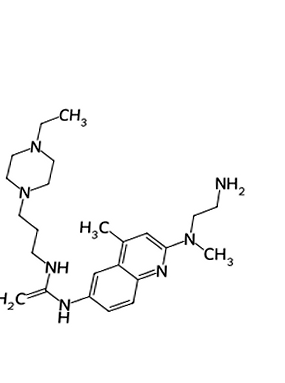 C=C(NCCCN1CCN(CC)CC1)Nc1ccc2nc(N(C)CCN)cc(C)c2c1